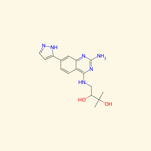 CC(C)(O)C(O)CNc1nc(N)nc2cc(-c3ccn[nH]3)ccc12